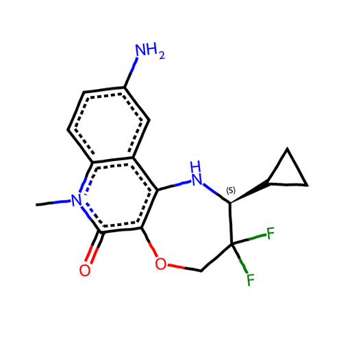 Cn1c(=O)c2c(c3cc(N)ccc31)N[C@@H](C1CC1)C(F)(F)CO2